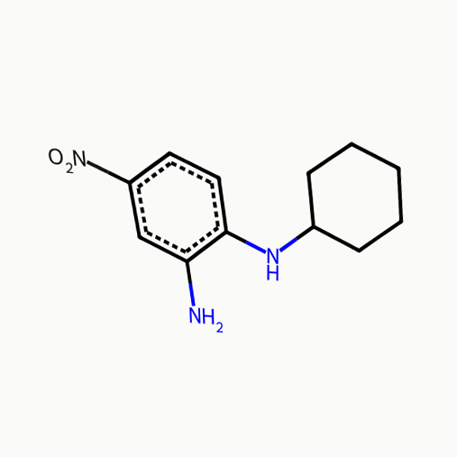 Nc1cc([N+](=O)[O-])ccc1NC1CCCCC1